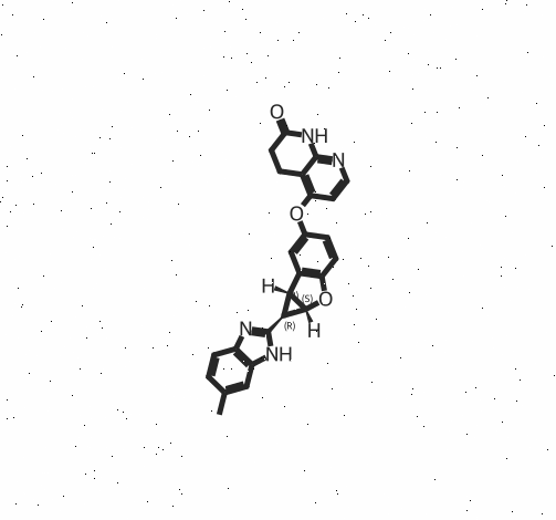 Cc1ccc2nc([C@@H]3[C@H]4Oc5ccc(Oc6ccnc7c6CCC(=O)N7)cc5[C@H]43)[nH]c2c1